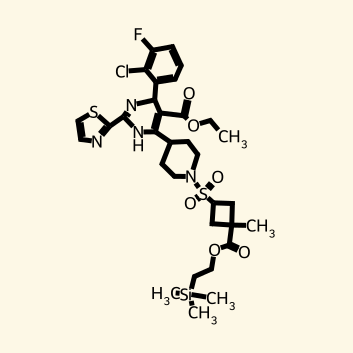 CCOC(=O)C1=C(C2CCN(S(=O)(=O)C3CC(C)(C(=O)OCC[Si](C)(C)C)C3)CC2)NC(c2nccs2)=NC1c1cccc(F)c1Cl